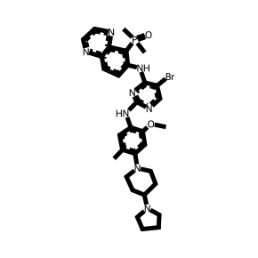 COc1cc(N2CCC(N3CCCC3)CC2)c(C)cc1Nc1ncc(Br)c(Nc2ccc3nccnc3c2P(C)(C)=O)n1